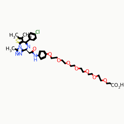 Cc1sc2c(c1C)C(c1ccc(Cl)cc1)=N[C@@H](CC(=O)Nc1ccc(OCCOCCOCCOCCOCCOCCOCCC(=O)O)cc1)c1nnc(C)n1-2